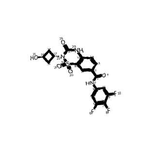 O=C(Nc1cc(F)c(F)c(F)c1)c1ccc2c(c1)S(=O)(=O)N([C@H]1C[C@H](O)C1)C(=O)N2